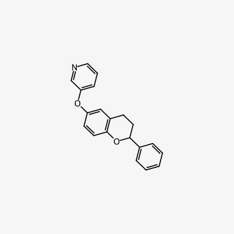 c1ccc(C2CCc3cc(Oc4cccnc4)ccc3O2)cc1